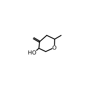 C=C1CC(C)OCC1O